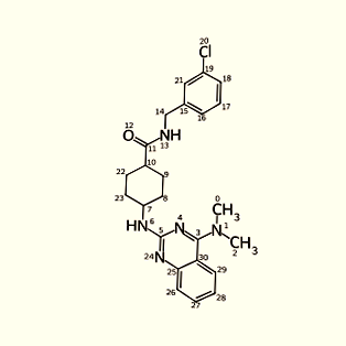 CN(C)c1nc(NC2CCC(C(=O)NCc3cccc(Cl)c3)CC2)nc2ccccc12